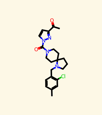 CC(=O)c1ccn(C(=O)N2CCC3(CCCN3Cc3ccc(C)cc3Cl)CC2)n1